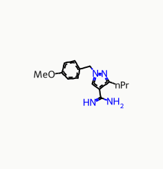 CCCc1nn(Cc2ccc(OC)cc2)cc1C(=N)N